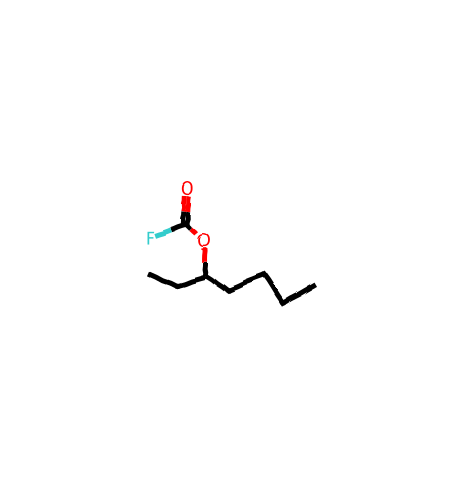 CCCCC(CC)OC(=O)F